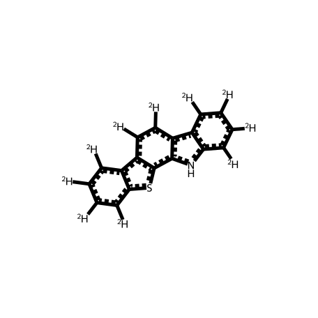 [2H]c1c([2H])c([2H])c2c([nH]c3c4sc5c([2H])c([2H])c([2H])c([2H])c5c4c([2H])c([2H])c32)c1[2H]